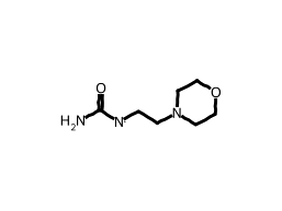 NC(=O)[N]CCN1CCOCC1